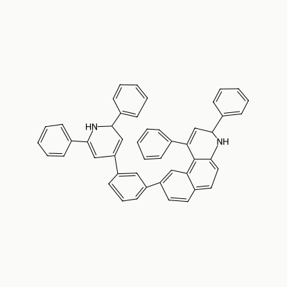 C1=C(c2cccc(-c3ccc4ccc5c(c4c3)C(c3ccccc3)=CC(c3ccccc3)N5)c2)C=C(c2ccccc2)NC1c1ccccc1